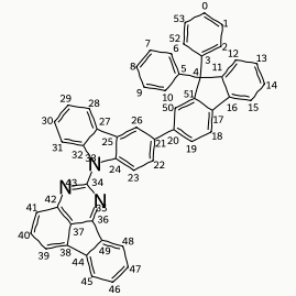 c1ccc(C2(c3ccccc3)c3ccccc3-c3ccc(-c4ccc5c(c4)c4ccccc4n5-c4nc5c6c(cccc6n4)-c4ccccc4-5)cc32)cc1